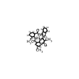 Cc1cc(C(C)Nc2c(F)cccc2C(=O)O)c2nc(N3Cc4ccccc4C3)c(C)c(=O)n2c1